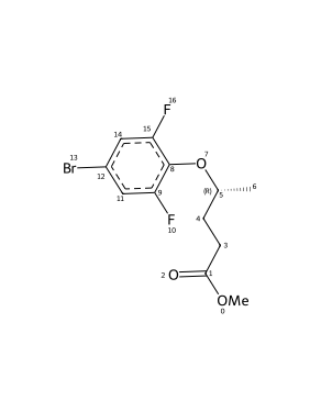 COC(=O)CC[C@@H](C)Oc1c(F)cc(Br)cc1F